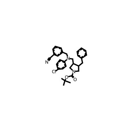 CC(C)(C)OC(=O)N1CC(Cc2ccccc2)C(CN(Cc2cccc(C#N)c2)c2ccc(Cl)cc2)C1